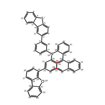 c1cc(-c2ccc3sc4ccccc4c3c2)cc(N(c2cccc(-c3cccc4c3oc3ccccc34)c2)c2ccccc2-c2cccc3ccccc23)c1